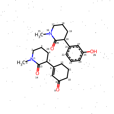 CN1CCCC(C2=CC(=O)CCC2)C1=O.CN1CCCC(c2cccc(O)c2)C1=O